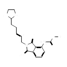 CC(C)(C)OC(=O)Nc1cccc2c1C(=O)N(C/C=C/CCC1OCCO1)C2=O